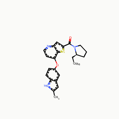 COC[C@@H]1CCCN1C(=O)c1cc2nccc(Oc3ccc4[nH]c(C)cc4c3)c2s1